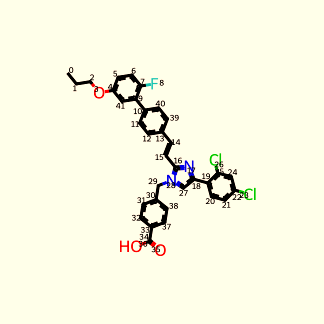 CCCOc1ccc(F)c(-c2ccc(C=Cc3nc(-c4ccc(Cl)cc4Cl)cn3Cc3ccc(C(=O)O)cc3)cc2)c1